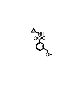 O=S(=O)(NC1CC1)c1cccc(CO)c1